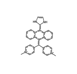 C[n+]1ccc(C(c2cc[n+](C)cc2)=c2c3ccccc3c(=C3NC=CN3)c3ccccc23)cc1